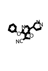 N#Cc1coc2c(C3C=CN=NC3)cnc(Oc3ccccc3)c12